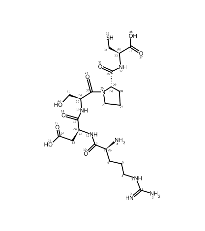 N=C(N)NCCC[C@H](N)C(=O)N[C@@H](CC(=O)O)C(=O)N[C@@H](CO)C(=O)N1CCC[C@H]1C(=O)N[C@@H](CS)C(=O)O